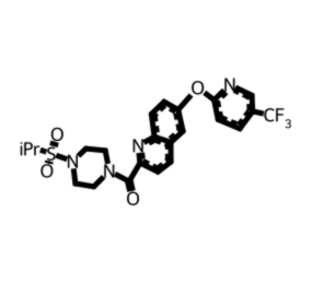 CC(C)S(=O)(=O)N1CCN(C(=O)c2ccc3cc(Oc4ccc(C(F)(F)F)cn4)ccc3n2)CC1